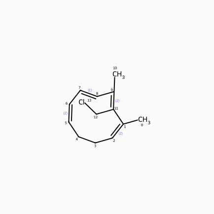 CC1=C\CC\C=C/C=C/C(C)=C/1CCl